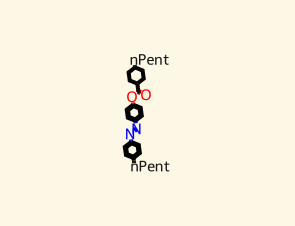 CCCCCc1ccc(N=Nc2ccc(OC(=O)C3CCC(CCCCC)CC3)cc2)cc1